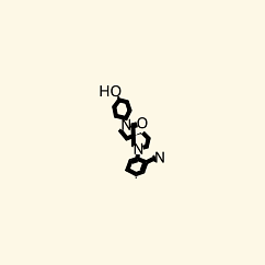 N#CC1=C[CH]CC=C1N1CCC[C@@]2(CCN([C@H]3CC[C@H](O)CC3)C2=O)C1